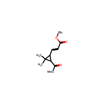 COC(=O)C1C(C=CC(=O)OC(C)(C)C)C1(C)C